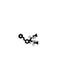 O=C(NCC1CC1)c1c(NC(=O)C2CC2)sc2c1CC(CCc1ccccc1)CC2